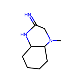 CN1CC(=N)NC2CCCCC21